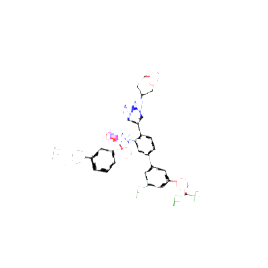 O=S(=O)(Nc1cc(-c2cc(F)cc(OC(F)F)c2)ccc1-c1cnn(C2CCOC2)c1)c1cccc(C(F)(F)F)c1